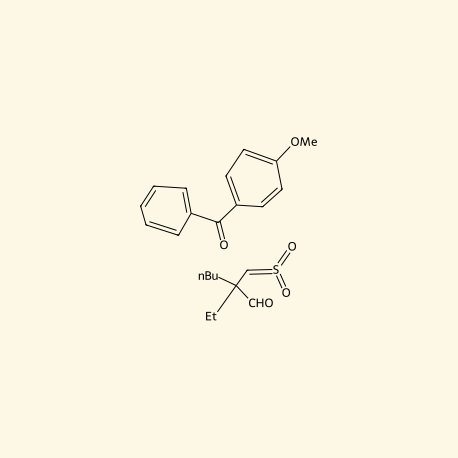 CCCCC(C=O)(C=S(=O)=O)CC.COc1ccc(C(=O)c2ccccc2)cc1